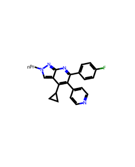 CCCn1cc2c(C3CC3)c(-c3ccncc3)c(-c3ccc(F)cc3)nc2n1